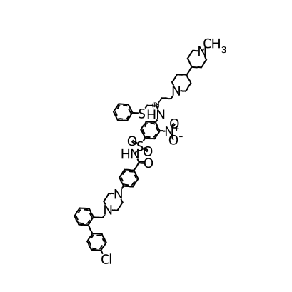 CN1CCC(C2CCN(CC[C@H](CSc3ccccc3)Nc3ccc(S(=O)(=O)NC(=O)c4ccc(N5CCN(Cc6ccccc6-c6ccc(Cl)cc6)CC5)cc4)cc3[N+](=O)[O-])CC2)CC1